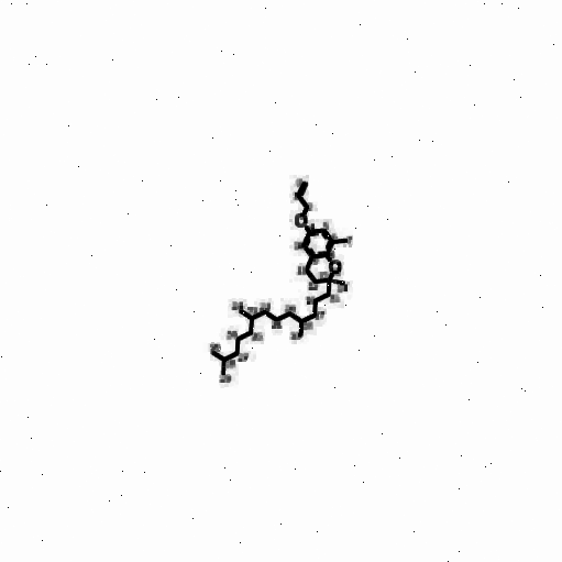 C=CCOc1cc(C)c2c(c1)CC[C@@](C)(CCCC(C)CCCC(C)CCCC(C)C)O2